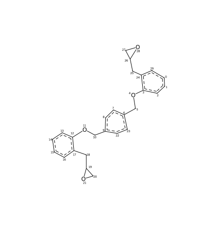 c1ccc(OCc2ccc(COc3ccccc3CC3CO3)cc2)c(CC2CO2)c1